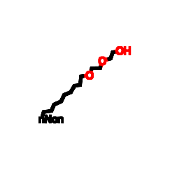 CCCCCCCCCCCCCCCCCCOCCOCCO